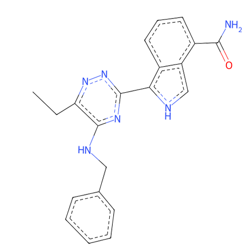 CCc1nnc(-c2[nH]cc3c(C(N)=O)cccc23)nc1NCc1ccccc1